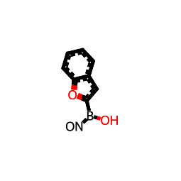 O=NB(O)c1cc2ccccc2o1